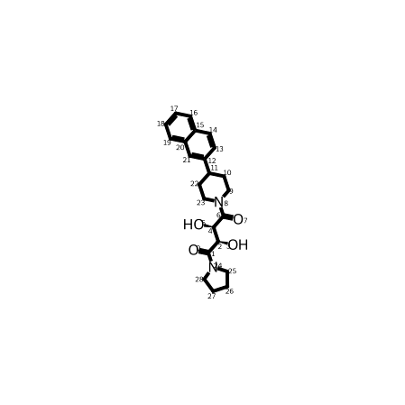 O=C([C@H](O)[C@@H](O)C(=O)N1CCC(c2ccc3ccccc3c2)CC1)N1CCCC1